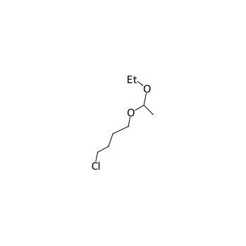 CCOC(C)OCCCCCl